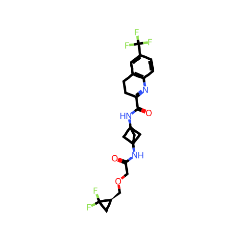 O=C(COC[C@H]1CC1(F)F)NC12CC(NC(=O)C3=Nc4ccc(C(F)(F)F)cc4CC3)(C1)C2